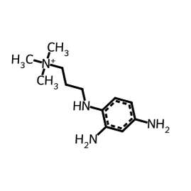 C[N+](C)(C)CCCNc1ccc(N)cc1N